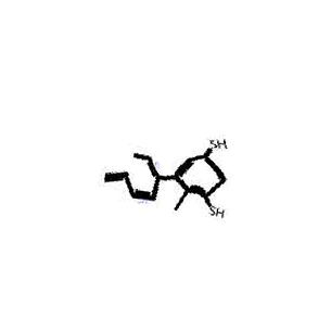 C=C/C=C\C(=C/C)c1cc(S)cc(S)c1C